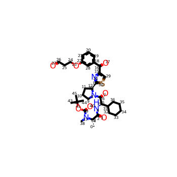 C[C@@H](C(=O)N[C@H](C(=O)N1CCC[C@H]1c1nc(C(=O)c2cccc(OCCC=O)c2)cs1)C1CCCCC1)N(C)C(=O)OC(C)(C)C